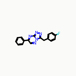 Fc1ccc(Cc2nnc3nc(-c4ccccc4)cnn23)cc1